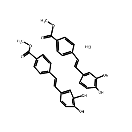 COC(=O)c1ccc(/C=C/c2ccc(O)c(O)c2)cc1.COC(=O)c1ccc(/C=C/c2ccc(O)c(O)c2)cc1.Cl